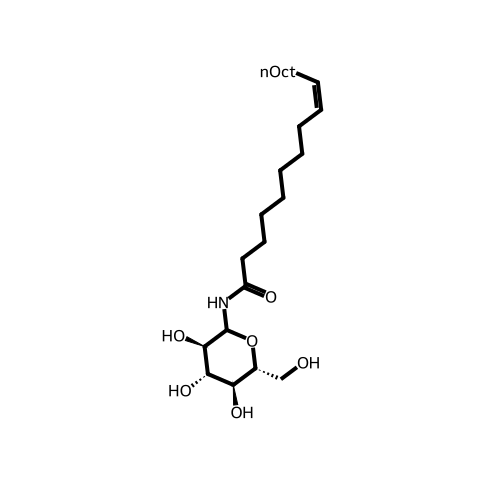 CCCCCCCC/C=C\CCCCCCCC(=O)NC1O[C@H](CO)[C@@H](O)[C@H](O)[C@H]1O